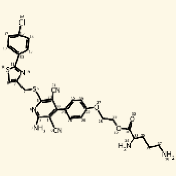 N#Cc1c(N)nc(SCc2csc(-c3ccc(Cl)cc3)n2)c(C#N)c1-c1ccc(OCCOC(=O)[C@H](N)CCCN)cc1